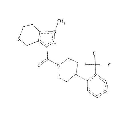 Cn1nc(C(=O)N2CCC(c3ccccc3C(F)(F)F)CC2)c2c1CCSC2